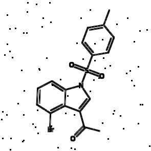 CC(=O)c1cn(S(=O)(=O)c2ccc(C)cc2)c2cccc(Br)c12